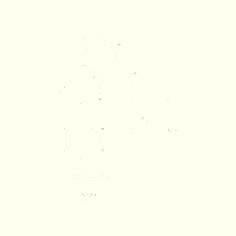 CNS(=O)(=O)c1ccc(C(O)c2cc(C(O)C(=O)OC)cc3ccc(F)cc23)cc1